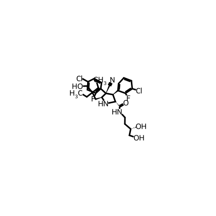 CCC(CC)(CO)C[C@@H]1N[C@@H](C(=O)NCC[C@H](O)CO)[C@H](c2cccc(Cl)c2F)[C@@]1(C#N)c1ccc(Cl)cc1F